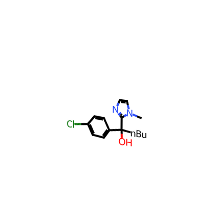 CCCCC(O)(c1ccc(Cl)cc1)c1nccn1C